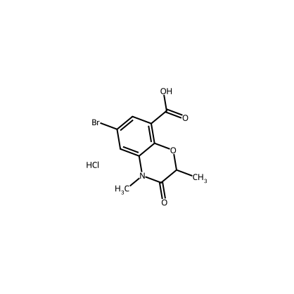 CC1Oc2c(C(=O)O)cc(Br)cc2N(C)C1=O.Cl